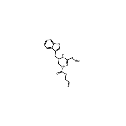 C=CCOC(=O)NC[C@@H](Cc1coc2ccccc12)NC(=O)OC(C)(C)C